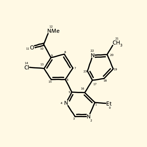 CCc1ncnc(-c2ccc(C(=O)NC)c(Cl)c2)c1-c1ccc(C)nc1